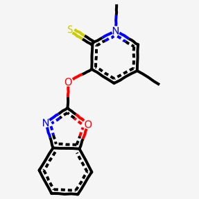 Cc1cc(Oc2nc3ccccc3o2)c(=S)n(C)c1